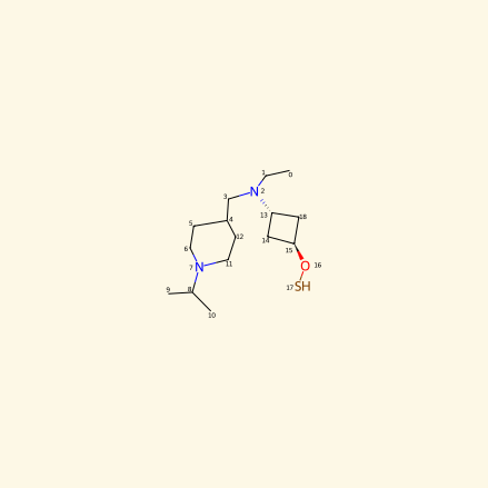 CCN(CC1CCN(C(C)C)CC1)[C@H]1C[C@H](OS)C1